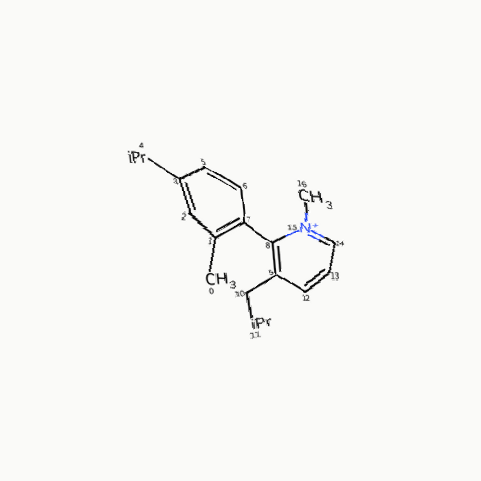 Cc1cc(C(C)C)ccc1-c1c(CC(C)C)ccc[n+]1C